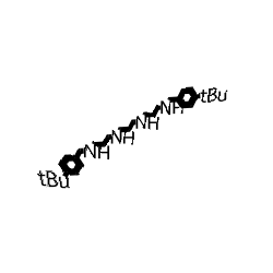 CC(C)(C)c1ccc(CNCCCNCCCNCCCNCc2ccc(C(C)(C)C)cc2)cc1